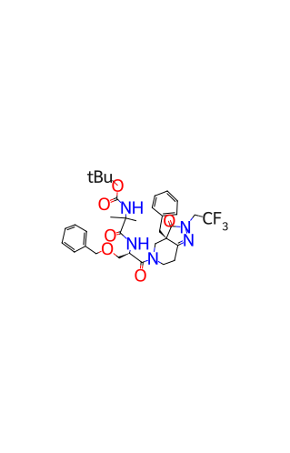 CC(C)(C)OC(=O)NC(C)(C)C(=O)N[C@H](COCc1ccccc1)C(=O)N1CCC2=NN(CC(F)(F)F)C(=O)[C@@]2(Cc2ccccc2)C1